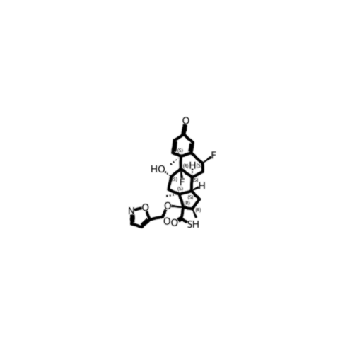 C[C@@H]1C[C@H]2[C@@H]3C[C@H](F)C4=CC(=O)C=C[C@]4(C)[C@@]3(F)[C@@H](O)C[C@]2(C)[C@@]1(OC(=O)c1ccno1)C(=O)S